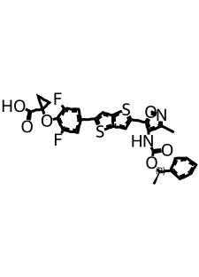 Cc1noc(-c2cc3sc(-c4cc(F)c(OC5(C(=O)O)CC5)c(F)c4)cc3s2)c1NC(=O)O[C@H](C)c1ccccc1